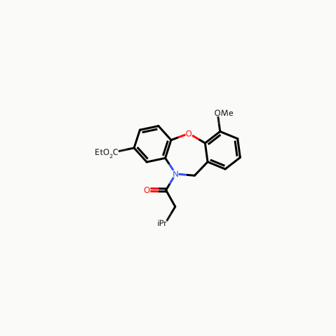 CCOC(=O)c1ccc2c(c1)N(C(=O)CC(C)C)Cc1cccc(OC)c1O2